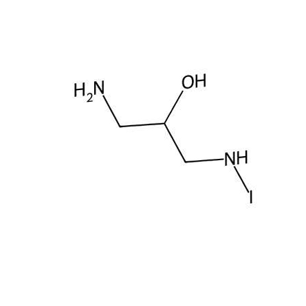 NCC(O)CNI